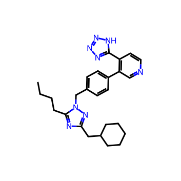 CCCCc1nc(CC2CCCCC2)nn1Cc1ccc(-c2cnccc2-c2nnn[nH]2)cc1